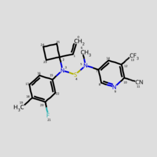 C=CC1(N(SN(C)c2cnc(C#N)c(C(F)(F)F)c2)c2ccc(C)c(F)c2)CCC1